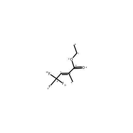 CCOC(=O)C(C)=CC(F)(F)F